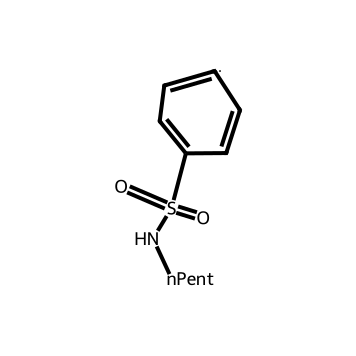 CCCCCNS(=O)(=O)c1cc[c]cc1